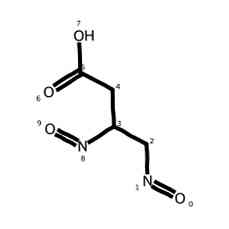 O=NCC(CC(=O)O)N=O